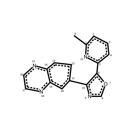 Cc1cccc(-c2ocnc2-c2ccc3nccnc3c2)n1